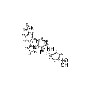 O=C(O)c1ccc(CNc2ncnc(N3CCCC3c3ccc(C(F)(F)F)cc3)c2F)cc1